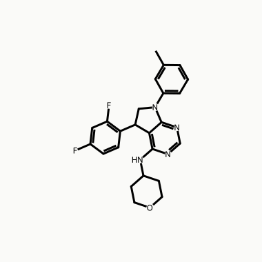 Cc1cccc(N2CC(c3ccc(F)cc3F)c3c(NC4CCOCC4)ncnc32)c1